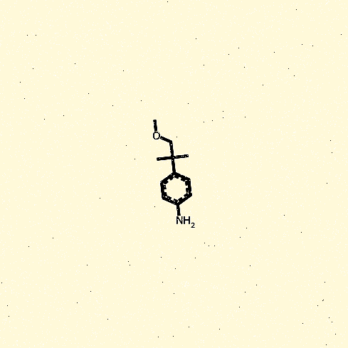 COCC(C)(C)c1ccc(N)cc1